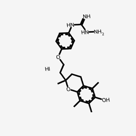 Cc1c(C)c2c(c(C)c1O)CCC(C)(CCOc1ccc(NC(=N)NN)cc1)O2.I